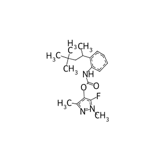 Cc1nn(C)c(F)c1OC(=O)Nc1ccccc1C(C)CC(C)(C)C